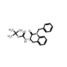 CC(C)(C)OC(=O)N[C@H]1Cc2ccccc2N(Cc2ccccc2)C1=O